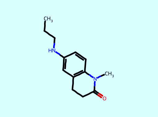 CCCNc1ccc2c(c1)CCC(=O)N2C